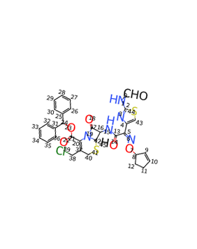 O=CNc1nc(/C(=N/OC2C=CCC2)C(=O)NC2C(=O)N3C(C(=O)OC(c4ccccc4)c4ccccc4)=C(CCl)CS[C@H]23)cs1